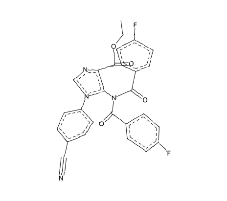 CCOC(=O)c1ncn(-c2ccc(C#N)cc2)c1N(C(=O)c1ccc(F)cc1)C(=O)c1ccc(F)cc1